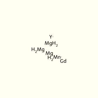 [Gd].[MgH2].[MgH2].[MgH2].[Mn].[Y]